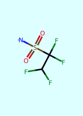 [N]S(=O)(=O)C(F)(F)[C](F)F